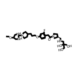 CCOC1CNC(N2CCC(CCCOc3ccc(CC(=O)N4CC[C@@H](CNCC(O)(CO)CO)C4)c(F)c3)CC2)NC1